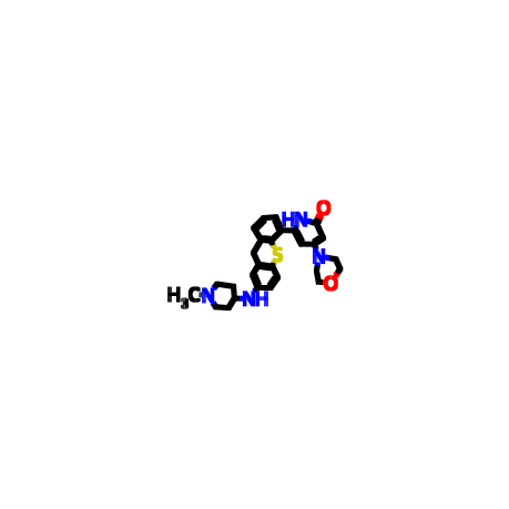 CN1CCC(Nc2ccc3c(c2)Cc2cccc(-c4cc(N5CCOCC5)cc(=O)[nH]4)c2S3)CC1